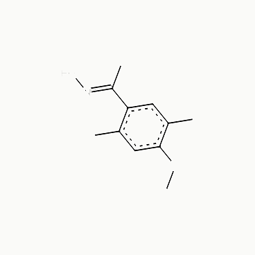 COc1cc(C)c(C(C)=NO)cc1C